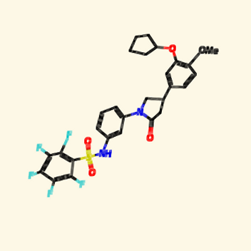 COc1ccc(C2CC(=O)N(c3cccc(NS(=O)(=O)c4c(F)c(F)c(F)c(F)c4F)c3)C2)cc1OC1CCCC1